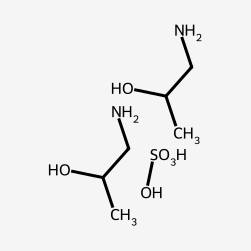 CC(O)CN.CC(O)CN.O=S(=O)(O)O